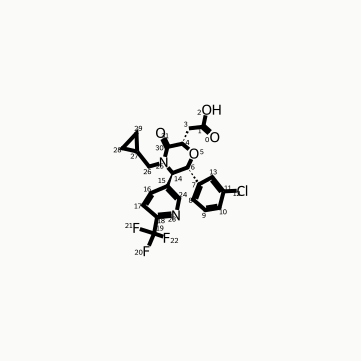 O=C(O)C[C@@H]1O[C@H](c2cccc(Cl)c2)[C@@H](c2ccc(C(F)(F)F)nc2)N(CC2CC2)C1=O